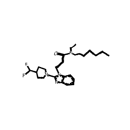 CCCCCCCN(CC)C(=O)CCn1c(N2CCC(C(F)F)CC2)nc2ccccc21